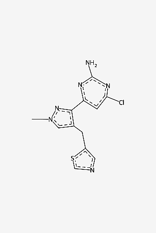 Cn1cc(Cc2cncs2)c(-c2cc(Cl)nc(N)n2)n1